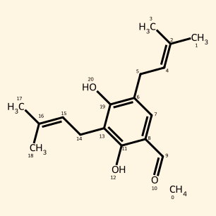 C.CC(C)=CCc1cc(C=O)c(O)c(CC=C(C)C)c1O